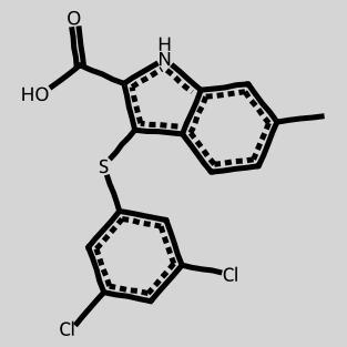 Cc1ccc2c(Sc3cc(Cl)cc(Cl)c3)c(C(=O)O)[nH]c2c1